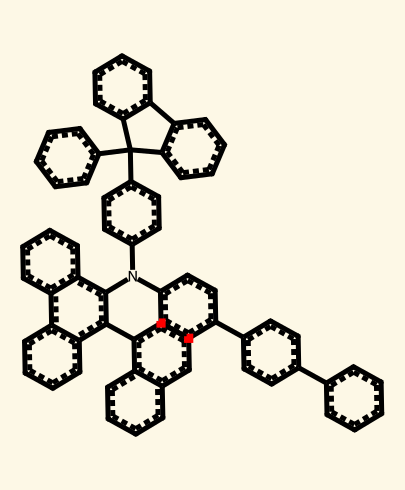 c1ccc(-c2ccc(-c3ccc(N(c4ccc(C5(c6ccccc6)c6ccccc6-c6ccccc65)cc4)c4c(-c5cccc6ccccc56)c5ccccc5c5ccccc45)cc3)cc2)cc1